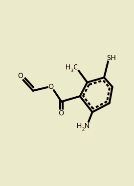 Cc1c(S)ccc(N)c1C(=O)OC=O